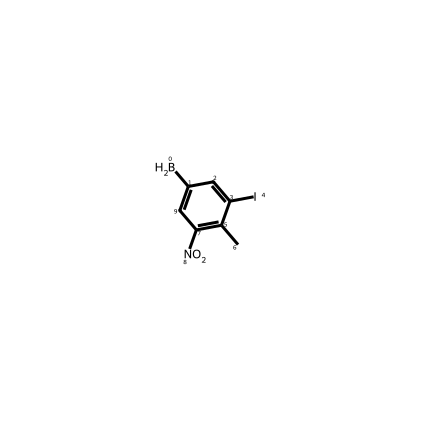 Bc1cc(I)c(C)c([N+](=O)[O-])c1